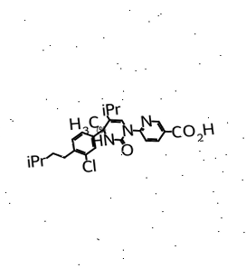 CC(C)CCc1ccc([C@]2(C)NC(=O)N(c3ccc(C(=O)O)cn3)C=C2C(C)C)cc1Cl